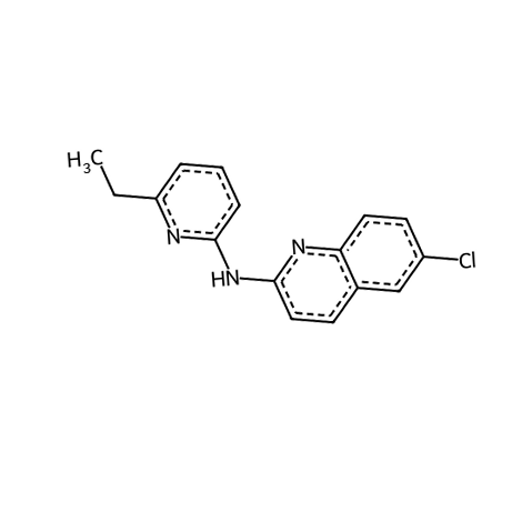 CCc1cccc(Nc2ccc3cc(Cl)ccc3n2)n1